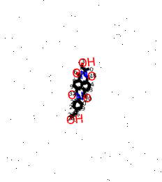 CC(CO)N1C(=O)c2ccc3c4c(ccc(c24)C1=O)C(=O)N(c1ccc(CCO)cc1)C3=O